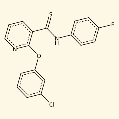 Fc1ccc(NC(=S)c2cccnc2Oc2cccc(Cl)c2)cc1